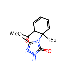 CCCCC1(n2c(C)n[nH]c2=O)C=CC=CC1C(=O)OC